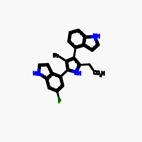 CC(C)c1c(-c2cc(F)cc3[nH]ccc23)[nH]c(CC(=O)O)c1-c1cccc2[nH]ccc12